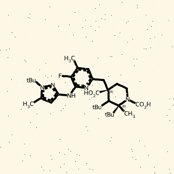 Cc1cc(C[C@]2(C(=O)O)CCN(C(=O)O)[C@@](C)(C(C)(C)C)C2C(C)(C)C)nc(Nc2cc(C)n(C(C)(C)C)n2)c1F